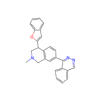 CN1Cc2cc(-c3nncc4ccccc34)ccc2C(c2cc3ccccc3o2)C1